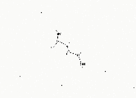 CCCC(C)OOOO